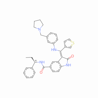 CC[C@@H](NC(=O)c1ccc2c(c1)C(=C(Nc1cccc(CN3CCCC3)c1)c1ccsc1)C(=O)N2)c1ccccc1